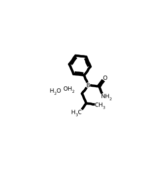 CC(C)CB(C(N)=O)c1ccccc1.O.O